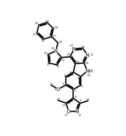 COc1cc2c(cc1-c1c(C)noc1C)[nH]c1ncnc(-c3cccn3Cc3ccccc3)c12